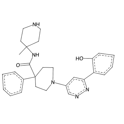 CC1(NC(=O)C2(c3ccccc3)CCN(c3cnnc(-c4ccccc4O)c3)CC2)CCNCC1